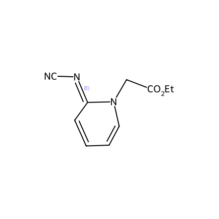 CCOC(=O)Cn1cccc/c1=N\C#N